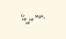 F.F.F.[Cr].[MgH2]